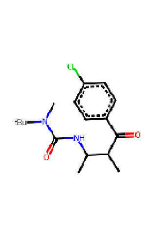 CC(NC(=O)N(C)C(C)(C)C)C(C)C(=O)c1ccc(Cl)cc1